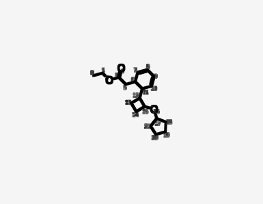 CCOC(=O)CC1C=CC=CC1C1CCC1OC1CCCC1